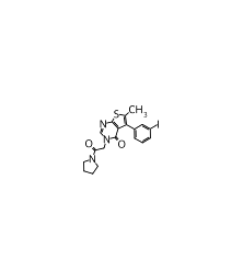 Cc1sc2ncn(CC(=O)N3CCCC3)c(=O)c2c1-c1cccc(I)c1